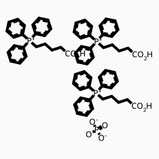 O=C(O)CCCC[P+](c1ccccc1)(c1ccccc1)c1ccccc1.O=C(O)CCCC[P+](c1ccccc1)(c1ccccc1)c1ccccc1.O=C(O)CCCC[P+](c1ccccc1)(c1ccccc1)c1ccccc1.O=P([O-])([O-])[O-]